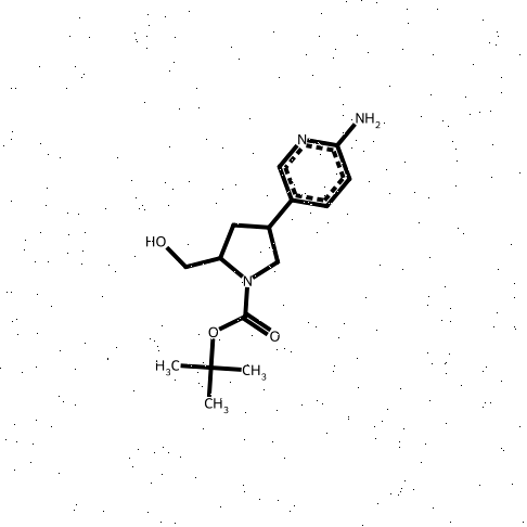 CC(C)(C)OC(=O)N1CC(c2ccc(N)nc2)CC1CO